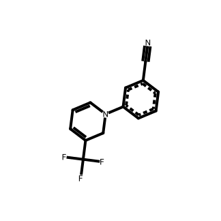 N#Cc1cccc(N2C=CC=C(C(F)(F)F)C2)c1